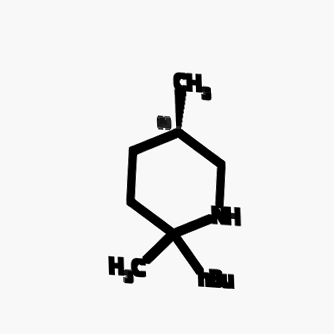 CCCCC1(C)CC[C@H](C)CN1